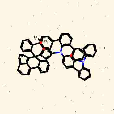 C[Si]1(C)c2ccccc2C2(c3ccccc3-c3cccc4cccc2c34)c2ccc(N(c3ccc4c5ccccc5n(-c5ccccc5)c4c3)c3c(-c4ccccc4)cccc3-c3ccccc3)cc21